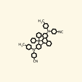 [C-]#[N+]c1ccc(N(c2ccc(C)cc2)c2ccc3c4c(c5ccccc5c3c2)-c2ccc(N(c3ccc(C)cc3)c3ccc(C#N)cc3)cc2C4(c2ccccc2)c2ccccc2)cc1